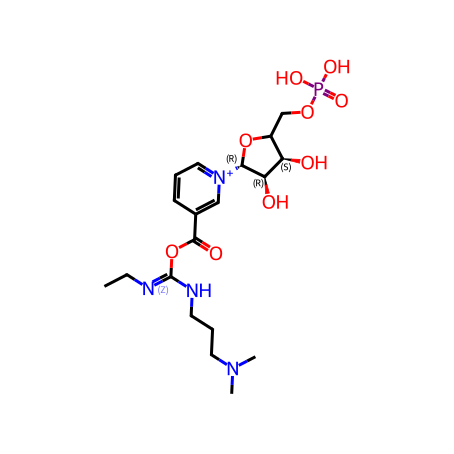 CC/N=C(/NCCCN(C)C)OC(=O)c1ccc[n+]([C@@H]2OC(COP(=O)(O)O)[C@@H](O)[C@H]2O)c1